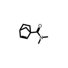 CN(C)C(=O)C12C=CC(CC1)C2